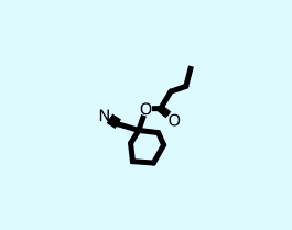 CCCC(=O)OC1(C#N)CCCCC1